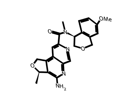 COc1ccc2c(c1)COC[C@H]2N(C)C(=O)c1cc2c3c(c(N)nc2cn1)[C@@H](C)OC3